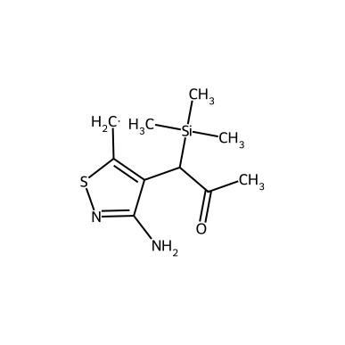 [CH2]c1snc(N)c1C(C(C)=O)[Si](C)(C)C